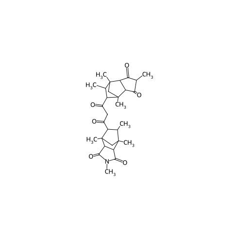 CC1C(=O)C2C(C1=O)C1(C)CC2(C)C(C)C1C(=O)CC(=O)C1C(C)C2(C)CC1(C)C1C(=O)N(C)C(=O)C12